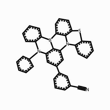 N#Cc1cccc(-c2cc3c4c(c2)N2c5ccccc5Sc5cccc(c52)B4c2ccccc2N3c2ccccc2)c1